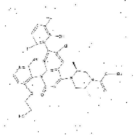 CC(C)c1nccc(OCCO)c1-n1c(=O)nc(N2C[C@@H](C)N(C(=O)OC(C)(C)C)C[C@@H]2C)c2cc(Cl)c(-c3c(F)ccc(F)c3O)nc21